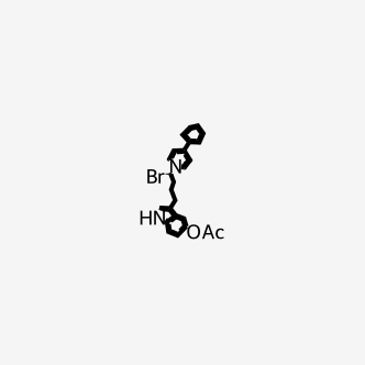 CC(=O)Oc1ccc2[nH]cc(CCCC[n+]3ccc(-c4ccccc4)cc3)c2c1.[Br-]